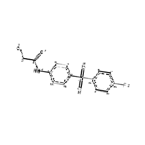 O=C(CCl)Nc1ccc(S(=O)(=O)c2ccc(F)cc2)cc1